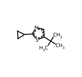 CC(C)(C)c1cnc(C2CC2)s1